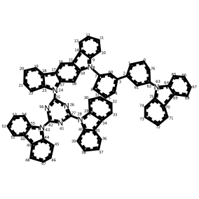 c1cc(-c2cccc(-n3c4ccccc4c4cc5c6ccccc6n(-c6nc(-n7c8ccccc8c8ccccc87)nc(-n7c8ccccc8c8ccccc87)n6)c5cc43)c2)cc(-n2c3ccccc3c3ccccc32)c1